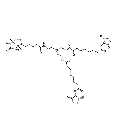 C[C@@]12CSC(CCCCC(=O)NCCN(CCNC(=O)CCCCCCC(=O)ON3C(=O)CCC3=O)CCNC(=O)CCCCCCC(=O)ON3C(=O)CCC3=O)[C@]1(C)NC(=O)N2